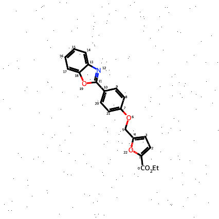 CCOC(=O)c1ccc(COc2ccc(-c3nc4ccccc4o3)cc2)o1